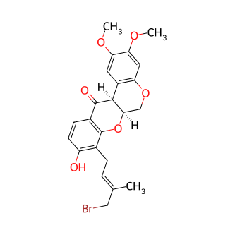 COc1cc2c(cc1OC)[C@@H]1C(=O)c3ccc(O)c(C/C=C(\C)CBr)c3O[C@@H]1CO2